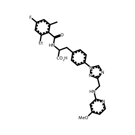 CCc1cc(F)cc(C)c1C(=O)NC(Cc1ccc(-n2cnc(CNc3cc(OC)ccn3)n2)cc1)C(=O)O